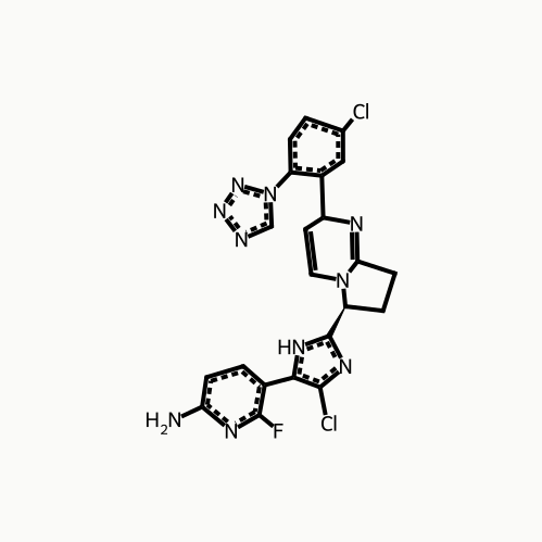 Nc1ccc(-c2[nH]c([C@@H]3CCC4=NC(c5cc(Cl)ccc5-n5cnnn5)C=CN43)nc2Cl)c(F)n1